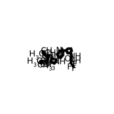 CC(C)(C)OC(=O)N(C(=O)OC(C)(C)C)C1=N[C@H](c2ccn3c(C4=CC(NC(=O)NCC(F)(F)F)=CCC4)cnc3c2)NC=C1F